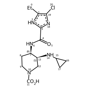 CCc1[nH]c(C(=O)N[C@@H]2CCN(C(=O)O)C[C@@H]2NC2CC2)nc1Cl